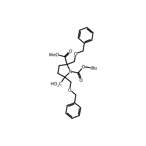 COC(=O)C1(COCc2ccccc2)CCC(COCc2ccccc2)(C(=O)O)N1C(=O)OC(C)(C)C